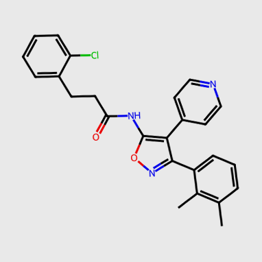 Cc1cccc(-c2noc(NC(=O)CCc3ccccc3Cl)c2-c2ccncc2)c1C